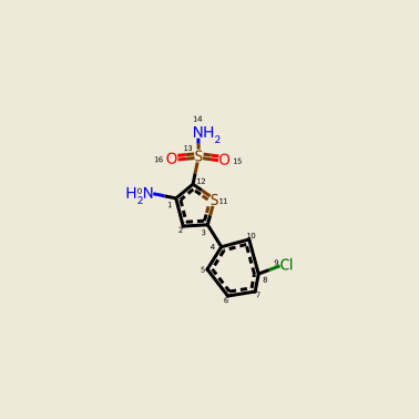 Nc1cc(-c2cccc(Cl)c2)sc1S(N)(=O)=O